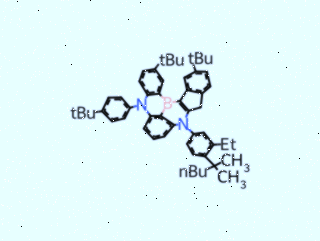 CCCCC(C)(C)c1ccc(N2C3=C(B4c5cc(C(C)(C)C)ccc5N(c5ccc(C(C)(C)C)cc5)c5cccc2c54)c2cc(C(C)(C)C)ccc2C3)cc1CC